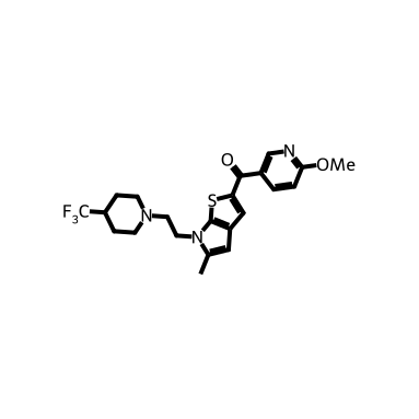 COc1ccc(C(=O)c2cc3cc(C)n(CCN4CCC(C(F)(F)F)CC4)c3s2)cn1